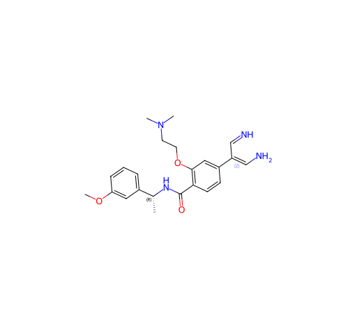 COc1cccc([C@@H](C)NC(=O)c2ccc(/C(C=N)=C/N)cc2OCCN(C)C)c1